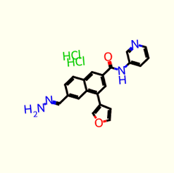 Cl.Cl.NN=Cc1ccc2cc(C(=O)Nc3cccnc3)cc(-c3ccoc3)c2c1